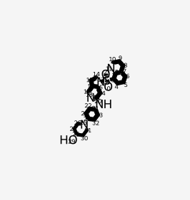 O=S(=O)(c1cccc2cccnc12)n1ccc2cnc(Nc3ccc(N4CCC(O)CC4)cc3)cc21